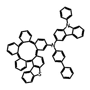 c1ccc(-c2ccc(N(c3ccc4c5ccccc5c5ccccc5c5ccccc5c5c(ccc6sc7ccccc7c65)c4c3)c3ccc4c(c3)c3ccccc3n4-c3ccccc3)cc2)cc1